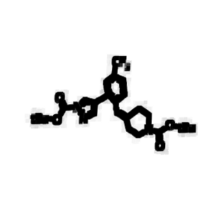 CC(C)(C)OC(=O)N1CCC(=Cc2ccc(C(F)(F)F)cc2-c2cnn(C(=O)OC(C)(C)C)c2)CC1